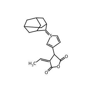 CC=C1C(=O)OC(=O)C1C1=CS(=C2C3CC4CC(C3)CC2C4)C=C1